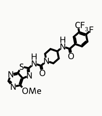 COc1ncnc2sc(NC(=O)N3CCC(NC(=O)c4ccc(F)c(C(F)(F)F)c4)CC3)nc12